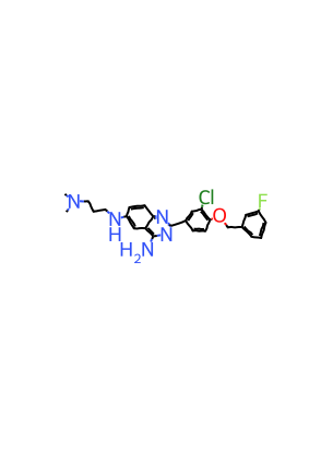 CN(C)CCCNc1ccc2nc(-c3ccc(OCc4cccc(F)c4)c(Cl)c3)nc(N)c2c1